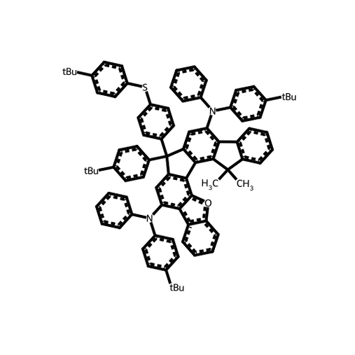 CC(C)(C)c1ccc(Sc2ccc(C3(c4ccc(C(C)(C)C)cc4)c4cc(N(c5ccccc5)c5ccc(C(C)(C)C)cc5)c5c(c4-c4c3cc(N(c3ccccc3)c3ccc(C(C)(C)C)cc3)c3c4oc4ccccc43)C(C)(C)c3ccccc3-5)cc2)cc1